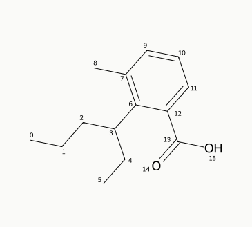 CCCC(CC)c1c(C)cccc1C(=O)O